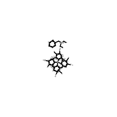 CC[NH+](CC)Cc1ccccc1.Cc1c(F)cc(F)c([B-](c2c(F)cc(F)c(C)c2F)(c2c(F)cc(F)c(C)c2F)c2c(F)cc(F)c(C)c2F)c1F